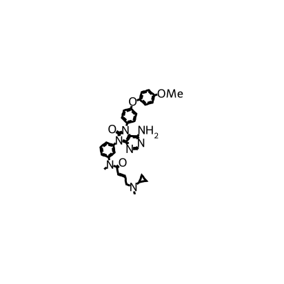 COc1ccc(Oc2ccc(-n3c(=O)n(-c4cccc(N(C)C(=O)C=CCN(C)C5CC5)c4)c4ncnc(N)c43)cc2)cc1